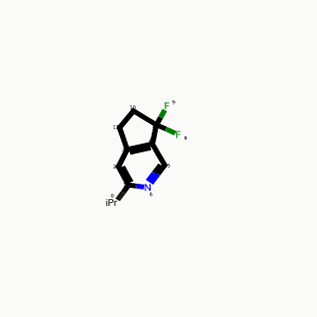 CC(C)c1cc2c(cn1)C(F)(F)CC2